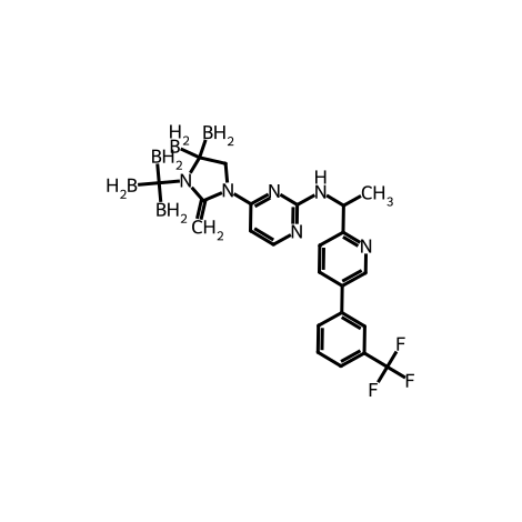 BC(B)(B)N1C(=C)N(c2ccnc(NC(C)c3ccc(-c4cccc(C(F)(F)F)c4)cn3)n2)CC1(B)B